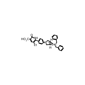 CCc1cc(C(=O)O)c(=O)[nH]c1-c1ccc(N2C[C@@H]3[C@H](C2)[C@@H]3N(Cc2ccccc2)Cc2ccccc2)cc1